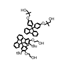 CC(C)(CO)COc1ccc(C2(c3ccc(OCC(C)(C)CO)cc3)c3ccccc3-c3ccccc32)cc1.Cc1cc(OCCO)c(C(C)(C)C)cc1C1(c2cc(C(C)(C)C)c(OCCO)cc2C)c2ccccc2-c2ccccc21